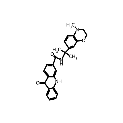 CN1CCOc2cc(C(C)(C)NC(=O)c3ccc4c(=O)c5ccccc5[nH]c4c3)ccc21